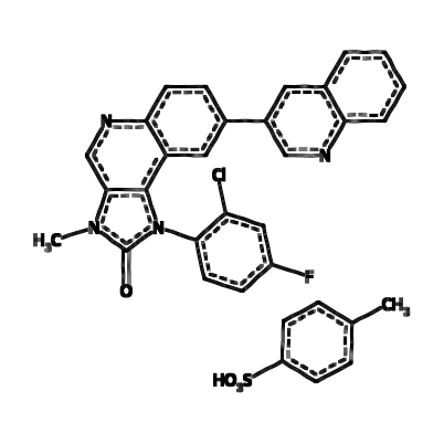 Cc1ccc(S(=O)(=O)O)cc1.Cn1c(=O)n(-c2ccc(F)cc2Cl)c2c3cc(-c4cnc5ccccc5c4)ccc3ncc21